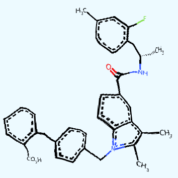 Cc1ccc([C@H](C)NC(=O)c2ccc3c(c2)c(C)c(C)n3Cc2ccc(-c3ccccc3C(=O)O)cc2)c(F)c1